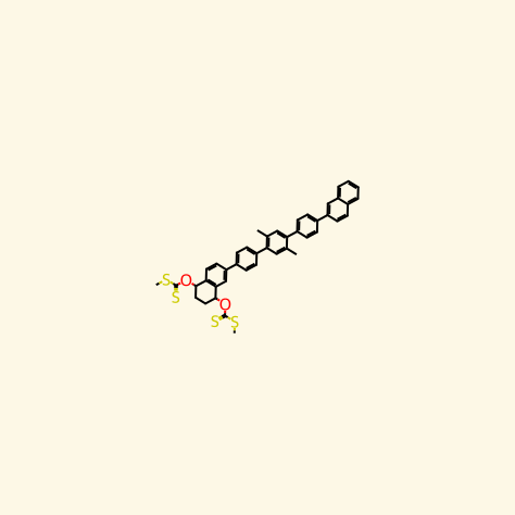 CSC(=S)OC1CCC(OC(=S)SC)c2cc(-c3ccc(-c4cc(C)c(-c5ccc(-c6ccc7ccccc7c6)cc5)cc4C)cc3)ccc21